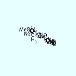 COc1ccc(CCN2CCN(C(=O)Cc3ccc(-n4cnnn4)cc3)CC2)c(C)c1C#N